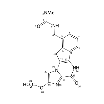 CNC(=O)NCc1cccc2c1Cc1c-2[nH]c(=O)c2nc(OC(=O)O)cn12